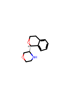 c1ccc2c(c1)CCO[C@H]2C1COCCN1